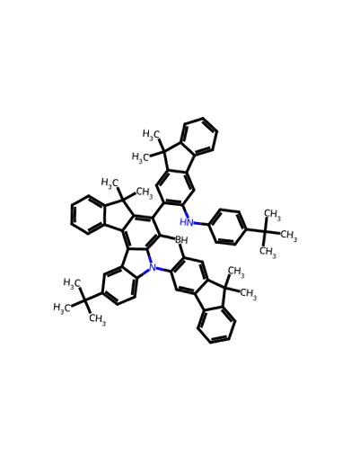 CC(C)(C)c1ccc(Nc2cc3c(cc2-c2c4c(c5c6cc(C(C)(C)C)ccc6n6c5c2Bc2cc5c(cc2-6)-c2ccccc2C5(C)C)-c2ccccc2C4(C)C)C(C)(C)c2ccccc2-3)cc1